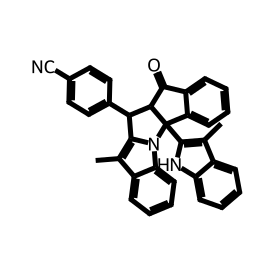 Cc1c(C23c4ccccc4C(=O)C2C(c2ccc(C#N)cc2)c2c(C)c4ccccc4n23)[nH]c2ccccc12